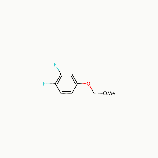 COCOc1ccc(F)c(F)c1